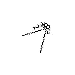 CCCCCCCCCCCCCCCCCC(C(CCCCCCCCCCCCCCCC)C(N)=O)C1CCCC2CC[C@@H]3[C@H](CC[C@]4(C)[C@@H]([C@H](C)CCCC(C)C)CC[C@@H]34)[C@]21C